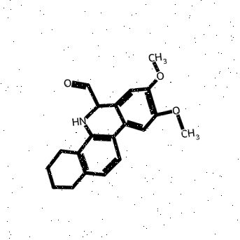 COc1cc2c(cc1OC)C(C=O)Nc1c-2ccc2c1CCCC2